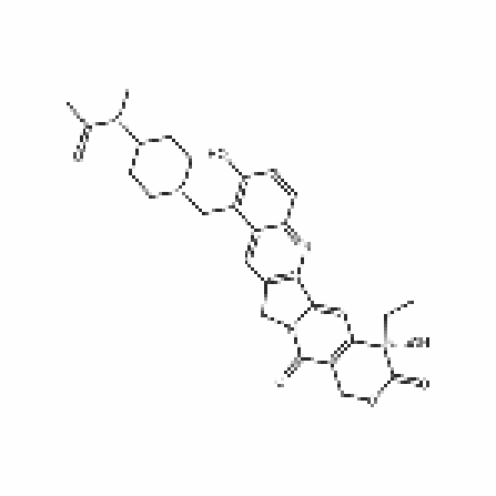 CC[C@@]1(O)C(=O)OCc2c1cc1n(c2=O)Cc2cc3c(CN4CCC(N(C)C(C)=O)CC4)c(O)ccc3nc2-1